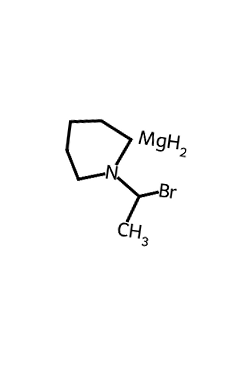 CC(Br)N1CCCCC1.[MgH2]